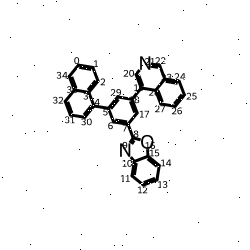 c1ccc2c(-c3cc(-c4nc5ccccc5o4)cc(-c4cncc5ccccc45)c3)cccc2c1